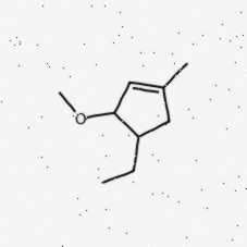 CCC1CC(C)=CC1OC